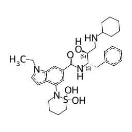 CCn1ccc2c(N3CCCCS3(O)O)cc(C(=O)N[C@@H](Cc3ccccc3)[C@@H](O)CNC3CCCCC3)cc21